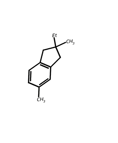 CCC1(C)Cc2ccc(C)cc2C1